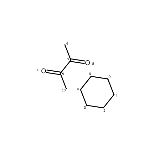 C1CCCCC1.CC(=O)C(C)=O